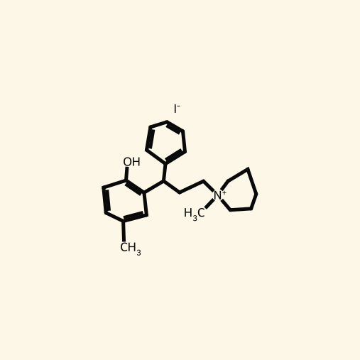 Cc1ccc(O)c(C(CC[N+]2(C)CCCCC2)c2ccccc2)c1.[I-]